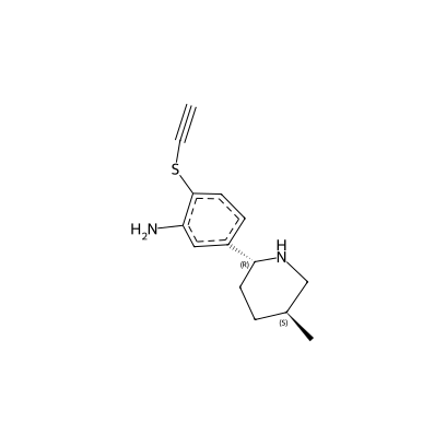 C#CSc1ccc([C@H]2CC[C@H](C)CN2)cc1N